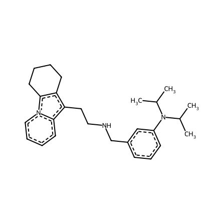 CC(C)N(c1cccc(CNCCc2c3c(n4ccccc24)CCCC3)c1)C(C)C